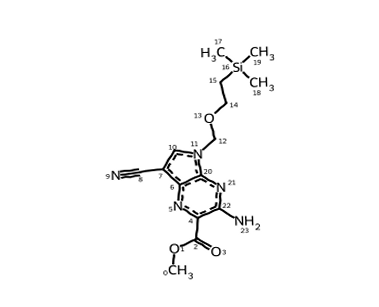 COC(=O)c1nc2c(C#N)cn(COCC[Si](C)(C)C)c2nc1N